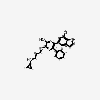 Oc1nc(-c2cc(Cl)c3[nH]ncc3c2)c(-c2ccccc2)nc1NCCCNC1CC1